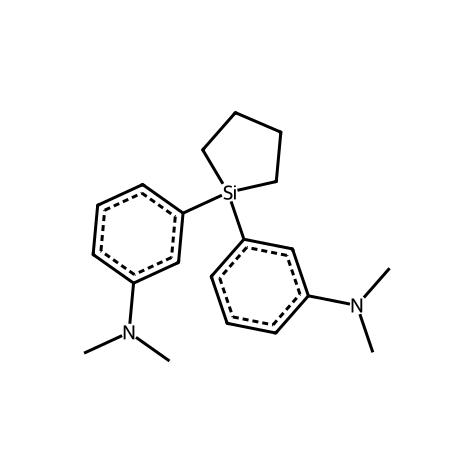 CN(C)c1cccc([Si]2(c3cccc(N(C)C)c3)CCCC2)c1